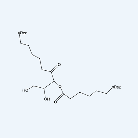 CCCCCCCCCCCCCCCC(=O)OC(C(=O)CCCCCCCCCCCCCCC)C(O)CO